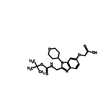 CC(C)(C)OC(=O)NCc1nc2ccc(OCC(=O)O)cc2n1C1CCOCC1